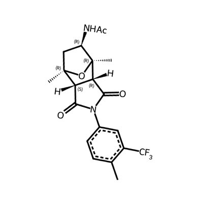 CC(=O)N[C@@H]1C[C@@]2(C)O[C@]1(C)[C@@H]1C(=O)N(c3ccc(C)c(C(F)(F)F)c3)C(=O)[C@@H]12